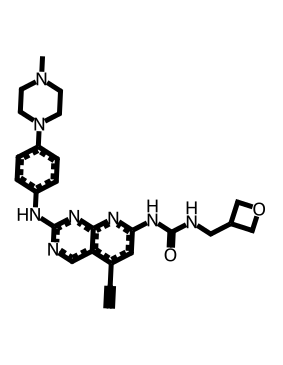 C#Cc1cc(NC(=O)NCC2COC2)nc2nc(Nc3ccc(N4CCN(C)CC4)cc3)ncc12